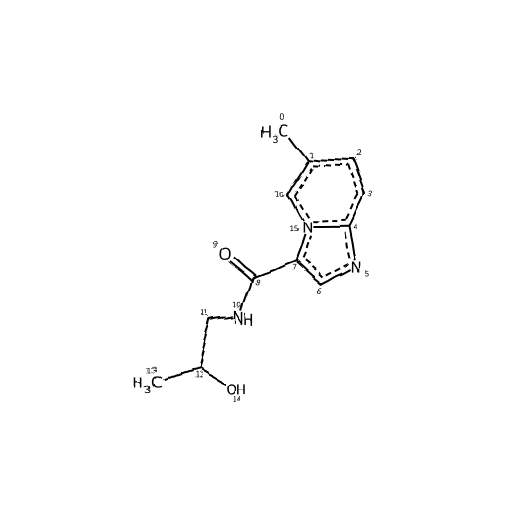 Cc1ccc2ncc(C(=O)NCC(C)O)n2c1